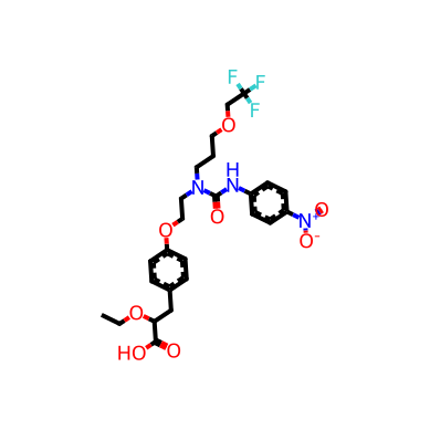 CCOC(Cc1ccc(OCCN(CCCOCC(F)(F)F)C(=O)Nc2ccc([N+](=O)[O-])cc2)cc1)C(=O)O